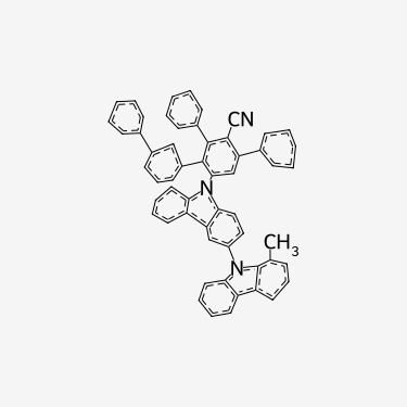 Cc1cccc2c3ccccc3n(-c3ccc4c(c3)c3ccccc3n4-c3cc(-c4ccccc4)c(C#N)c(-c4ccccc4)c3-c3cccc(-c4ccccc4)c3)c12